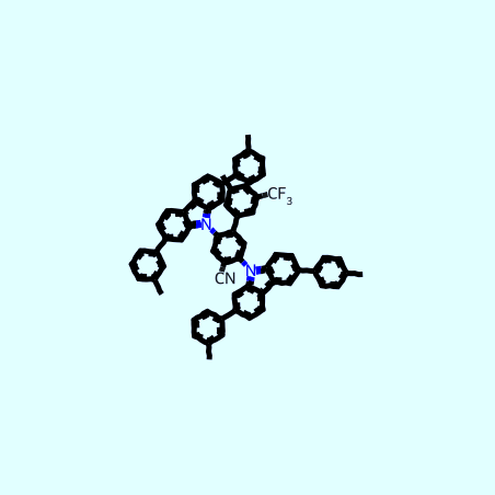 Cc1ccc(-c2ccc3c(c2)c2ccc(-c4cccc(C)c4)cc2n3-c2cc(-c3cc(C)cc(C(F)(F)F)c3)c(-n3c4cc(-c5cccc(C)c5)ccc4c4ccc(-c5cccc(C)c5)cc43)cc2C#N)cc1